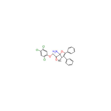 N#CC1C(c2ccccc2)=C(c2ccccc2)OC1(N)C(=O)COc1cc(Cl)c(Cl)cc1Cl